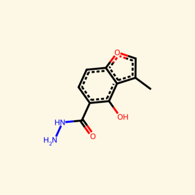 Cc1coc2ccc(C(=O)NN)c(O)c12